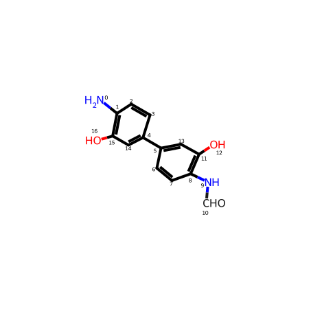 Nc1ccc(-c2ccc(NC=O)c(O)c2)cc1O